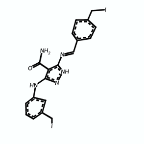 NC(=O)c1c(Nc2cccc(CI)c2)n[nH]c1/N=C/c1ccc(CI)cc1